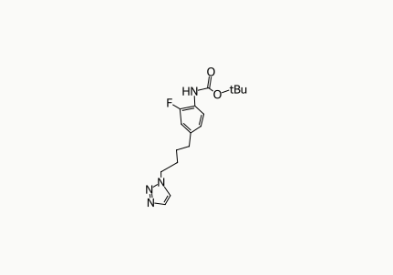 CC(C)(C)OC(=O)Nc1ccc(CCCCn2ccnn2)cc1F